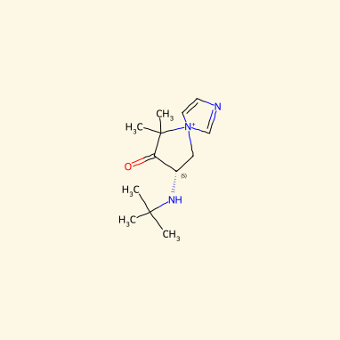 CC(C)(C)N[C@H]1C[N+]2(C=CN=C2)C(C)(C)C1=O